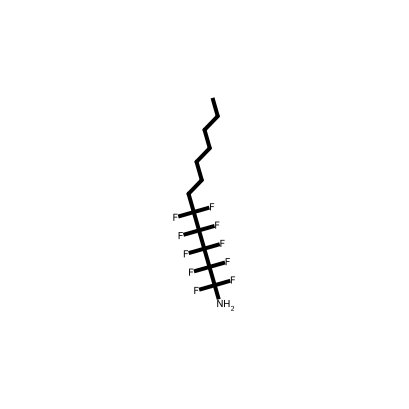 CCCCCCCC(F)(F)C(F)(F)C(F)(F)C(F)(F)C(N)(F)F